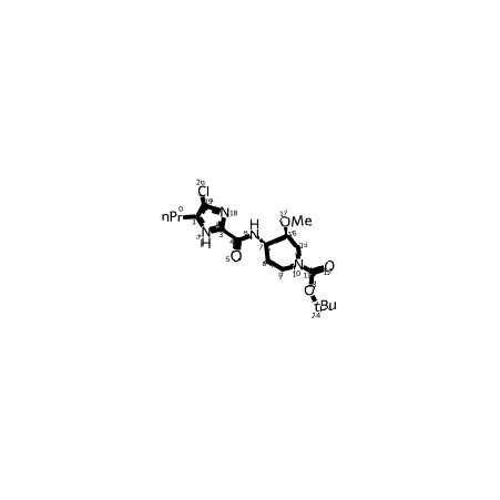 CCCc1[nH]c(C(=O)N[C@@H]2CCN(C(=O)OC(C)(C)C)C[C@@H]2OC)nc1Cl